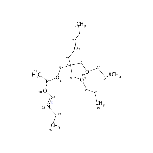 CCCOCC(COCCC)(COCCC)COP(C)O/C=N/CC